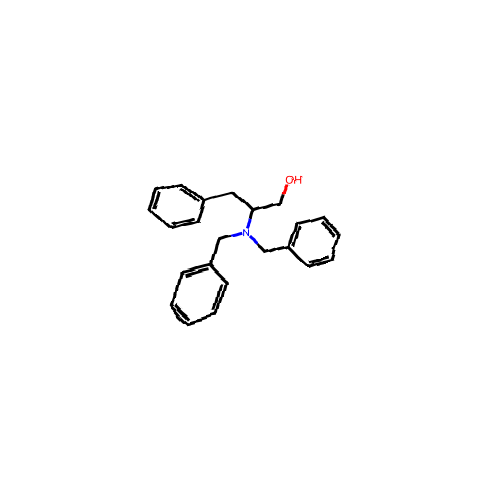 OCC(Cc1ccccc1)N(Cc1ccccc1)Cc1ccccc1